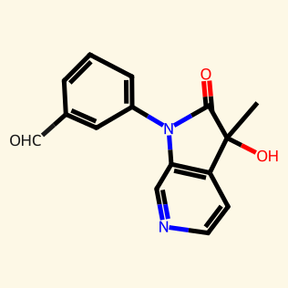 CC1(O)C(=O)N(c2cccc(C=O)c2)c2cnccc21